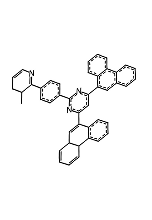 CC1CC=CN=C1c1ccc(-c2nc(C3=CC4C=CC=CC4c4ccccc43)cc(-c3cc4ccccc4c4ccccc34)n2)cc1